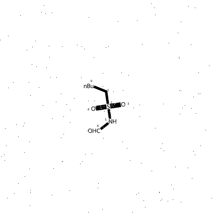 CCCCCS(=O)(=O)N[C]=O